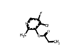 CCC(=O)Oc1c(C)ncc(F)c1Cl